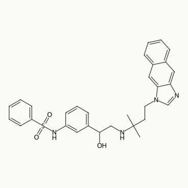 CC(C)(CCn1cnc2cc3ccccc3cc21)NCC(O)c1cccc(NS(=O)(=O)c2ccccc2)c1